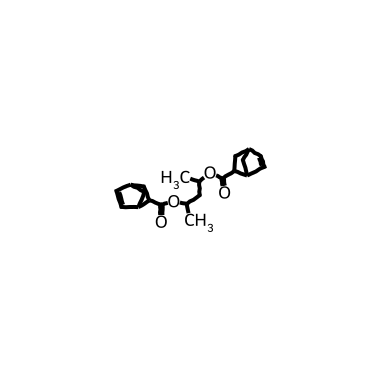 CC(CC(C)OC(=O)C1CC2C=CC1C2)OC(=O)C1CC2C=CC1C2